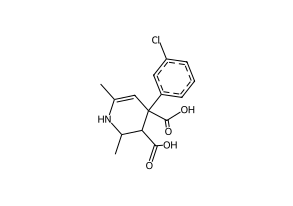 CC1=CC(C(=O)O)(c2cccc(Cl)c2)C(C(=O)O)C(C)N1